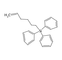 C=CCCCC[Si](c1ccccc1)(c1ccccc1)c1ccccc1